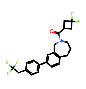 O=C(C1CC(F)(F)C1)N1CCCc2ccc(-c3ccc(CC(F)(F)F)cc3)cc2C1